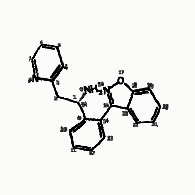 N[C@@H](Cc1ccccn1)c1ccccc1-c1noc2ccccc12